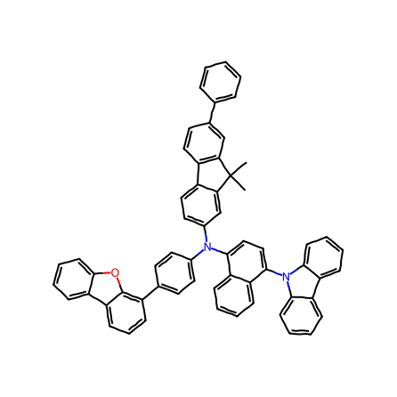 CC1(C)c2cc(-c3ccccc3)ccc2-c2ccc(N(c3ccc(-c4cccc5c4oc4ccccc45)cc3)c3ccc(-n4c5ccccc5c5ccccc54)c4ccccc34)cc21